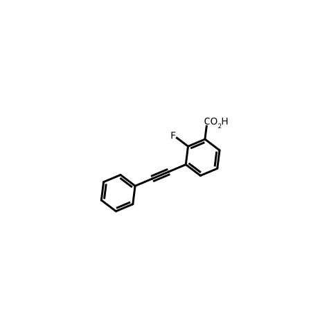 O=C(O)c1cccc(C#Cc2ccccc2)c1F